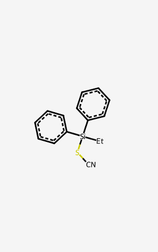 CC[Si](SC#N)(c1ccccc1)c1ccccc1